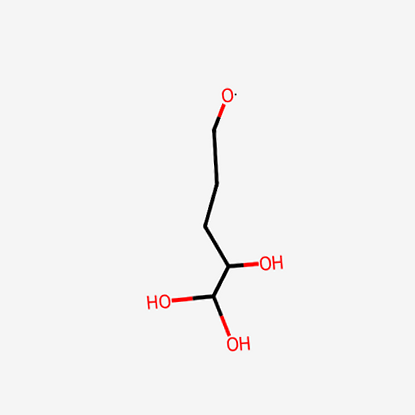 [O]CCCC(O)C(O)O